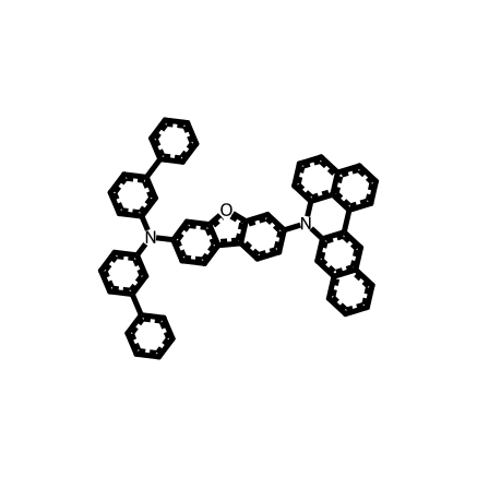 c1ccc(-c2cccc(N(c3cccc(-c4ccccc4)c3)c3ccc4c(c3)oc3cc(N5c6cc7ccccc7cc6-c6cccc7cccc5c67)ccc34)c2)cc1